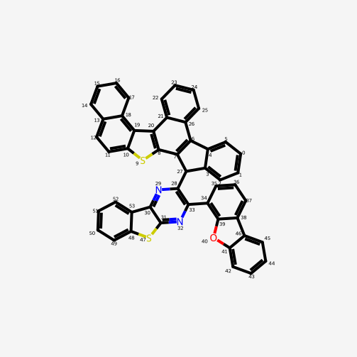 c1ccc2c(c1)-c1c(c3sc4ccc5ccccc5c4c3c3ccccc13)C2c1nc2c(nc1-c1cccc3c1oc1ccccc13)sc1ccccc12